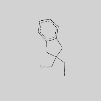 ICC1(CI)Cc2ccccc2C1